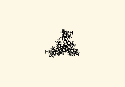 CC(CC(=O)Oc1ccc(C(C)(C)C)cc1C(C)CC(c1cc(C(C)(C)C)ccc1OC(=O)CC(C)c1cc(C(C)(C)C)c(O)c(C(C)(C)C)c1)c1cc(C(C)(C)C)ccc1OC(=O)CC(C)c1cc(C(C)(C)C)c(O)c(C(C)(C)C)c1)c1cc(C(C)(C)C)c(O)c(C(C)(C)C)c1